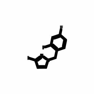 Fc1ccc(Cn2ccc(I)n2)c(F)c1